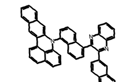 c1ccc2cc(-c3nc4ccccc4nc3-c3cccc4c(N5c6cc7ccccc7cc6-c6cccc7cccc5c67)cccc34)ccc2c1